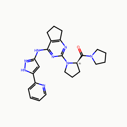 O=C([C@H]1CCCN1c1nc2c(c(Nc3cc(-c4ccccn4)[nH]n3)n1)CCC2)N1CCCC1